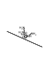 CCCCCCCCCCCCCCCCCC(CCCCCCCCCCCCCCCCC)N(CC(=O)NCCCN)C(=O)CNC(=O)[C@@H](N)CCCN